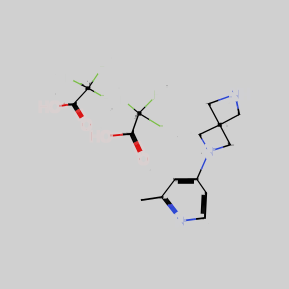 Cc1cc(N2CC3(CNC3)C2)ccn1.O=C(O)C(F)(F)F.O=C(O)C(F)(F)F